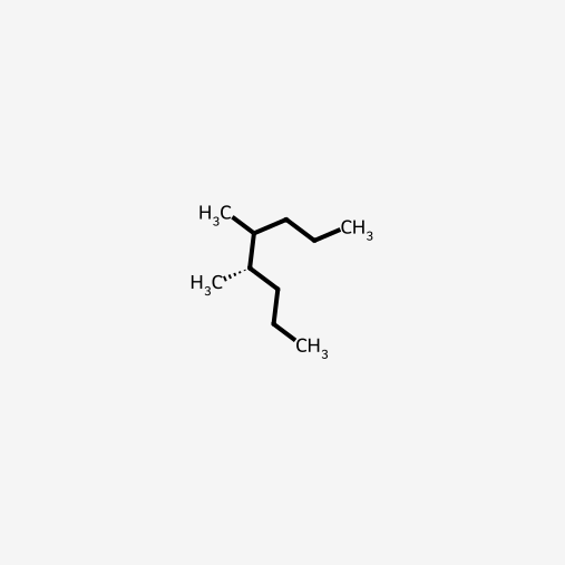 CCCC(C)[C@@H](C)CCC